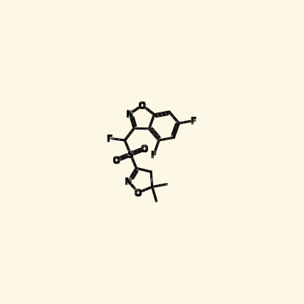 CC1(C)CC(S(=O)(=O)C(F)c2noc3cc(F)cc(F)c23)=NO1